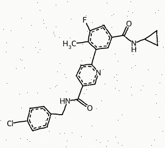 Cc1c(F)cc(C(=O)NC2CC2)cc1-c1ccc(C(=O)NCc2ccc(Cl)cc2)cn1